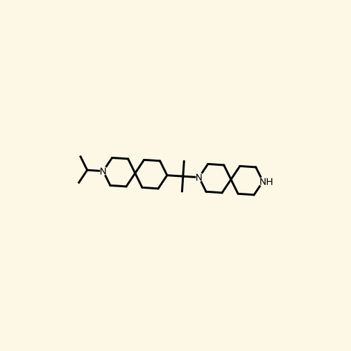 CC(C)N1CCC2(CCC(C(C)(C)N3CCC4(CCNCC4)CC3)CC2)CC1